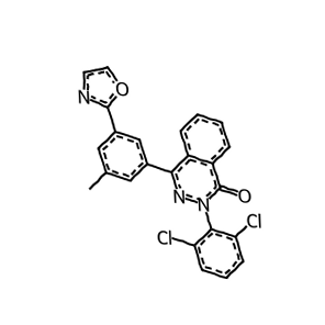 Cc1cc(-c2ncco2)cc(-c2nn(-c3c(Cl)cccc3Cl)c(=O)c3ccccc23)c1